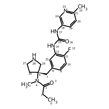 CCC(=O)N(C)[C@]1(Cc2ccc(F)c(NC(=O)Nc3ccc(C)nc3)c2)CCNC1